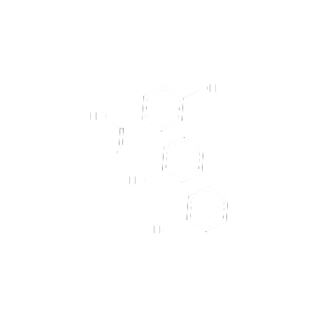 O=C(O)c1ccc(O)cc1.Oc1ccccc1.Oc1ccccc1